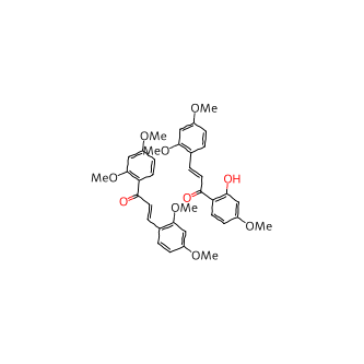 COc1ccc(C(=O)C=Cc2ccc(OC)cc2OC)c(O)c1.COc1ccc(C=CC(=O)c2ccc(OC)cc2OC)c(OC)c1